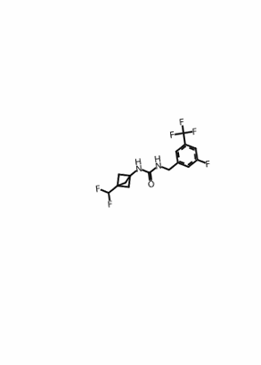 O=C(NCc1cc(F)cc(C(F)(F)F)c1)NC12CC(C(F)F)(C1)C2